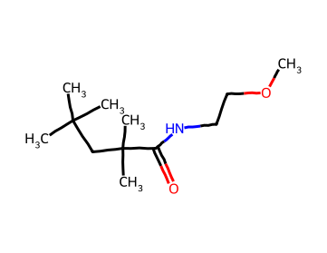 COCCNC(=O)C(C)(C)CC(C)(C)C